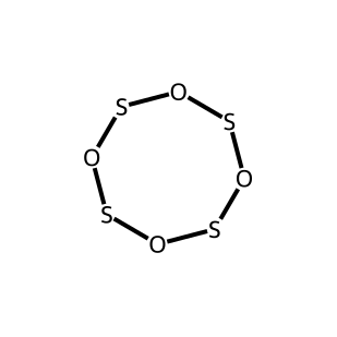 O1SOSOSOS1